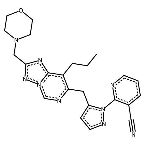 CCCc1c(Cc2ccnn2-c2ncccc2C#N)ncn2nc(CN3CCOCC3)nc12